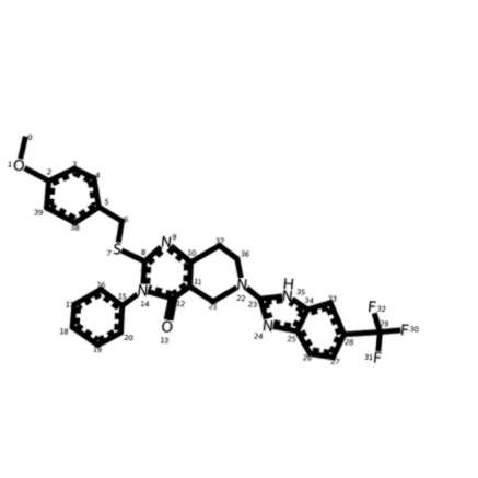 COc1ccc(CSc2nc3c(c(=O)n2-c2ccccc2)CN(c2nc4ccc(C(F)(F)F)cc4[nH]2)CC3)cc1